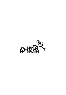 CC(C)[C@H]1COC(=O)N1c1ccnc(N[C@H](C)c2nc(-c3cccnc3)no2)n1